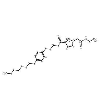 CCCCCCCCc1ccc(CCCCC(=O)C2NC(CC(=O)OCC)=CS2)cc1